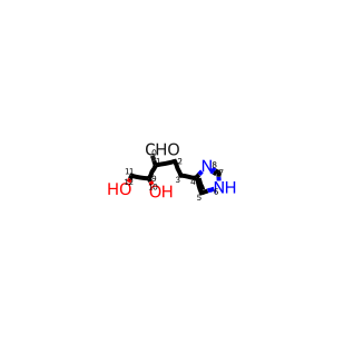 O=CC(CCc1c[nH]cn1)C(O)CO